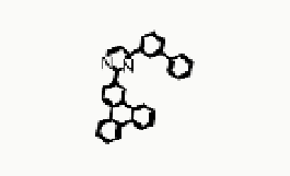 c1ccc(-c2cccc(-c3ccnc(-c4ccc5c6ccccc6c6ccccc6c5c4)n3)c2)cc1